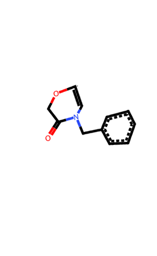 O=C1CO[C]=CN1Cc1ccccc1